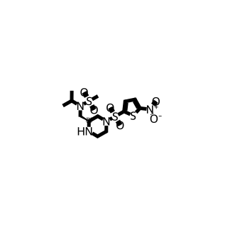 CC(C)N(C[C@H]1CN(S(=O)(=O)c2ccc([N+](=O)[O-])s2)CCN1)S(C)(=O)=O